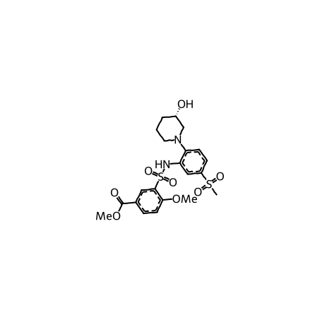 COC(=O)c1ccc(OC)c(S(=O)(=O)Nc2cc(S(C)(=O)=O)ccc2N2CCC[C@H](O)C2)c1